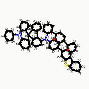 c1ccc(-c2ccc(-c3ccccc3N(c3ccc(-c4ccc5c(c4)sc4ccccc45)cc3)c3cccc4c3-c3ccccc3C43c4ccccc4N(c4ccccc4)c4ccccc43)cc2)cc1